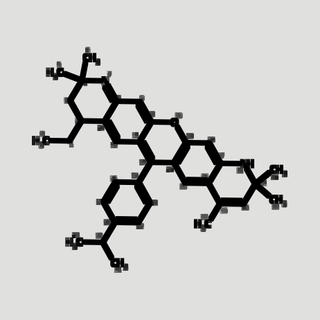 CCC1CC(C)(C)N=c2cc3c(cc21)=C(c1ccc(C(C)C)cc1)c1cc2c(cc1O3)NC(C)(C)C=C2C